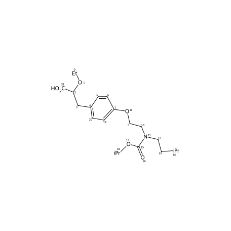 CCOC(Cc1ccc(OCCN(CCC(C)C)C(=O)OC(C)C)cc1)C(=O)O